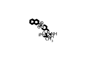 CC(C)CC1(C)NC(=N)N(CC2CCN(S(=O)(=O)c3ccc4ccccc4c3)CC2)C1=O